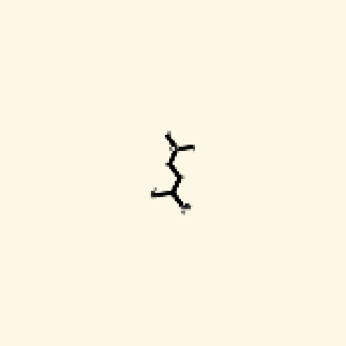 CCCC(Br)CCN(C)C